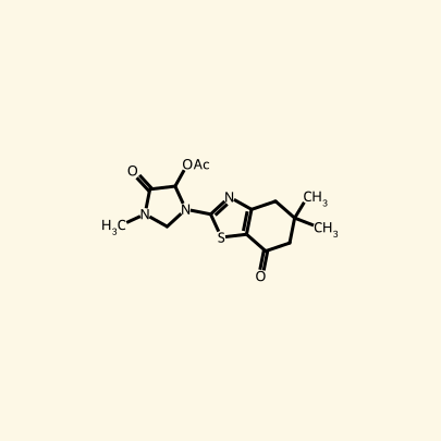 CC(=O)OC1C(=O)N(C)CN1c1nc2c(s1)C(=O)CC(C)(C)C2